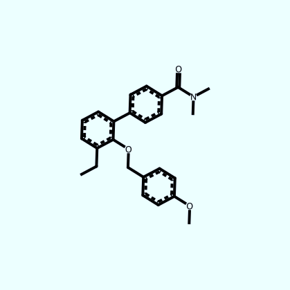 CCc1cccc(-c2ccc(C(=O)N(C)C)cc2)c1OCc1ccc(OC)cc1